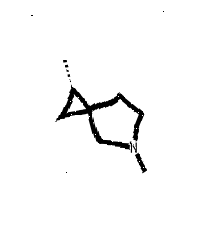 C[C@H]1CC12CCN(C)C2